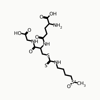 C[S+]([O-])CCCCNC(=S)SCC(NC(=O)CCC(N)C(=O)O)C(=O)NCC(=O)O